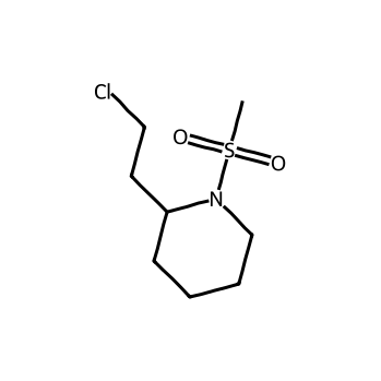 CS(=O)(=O)N1CCCCC1CCCl